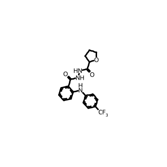 O=C(NNC(=O)C1CCCO1)c1ccccc1Nc1ccc(C(F)(F)F)cc1